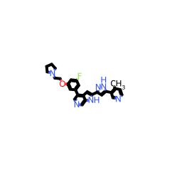 Cc1ccncc1-c1cc(-c2cc3c(-c4cc(F)cc(OCCN5CCCC5)c4)cncc3[nH]2)n[nH]1